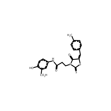 Cc1ccc(/C=C2/SC(=S)N(CCC(=O)Nc3ccc(O)c(C(=O)O)c3)C2=O)cc1